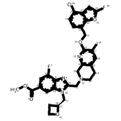 COC(=O)c1cc(F)c2nc(CN3CCc4cc(I)c(OCc5ccc(Cl)c6cc(F)oc56)nc4C3)n(C[C@@H]3CCO3)c2c1